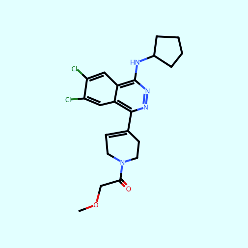 COCC(=O)N1CC=C(c2nnc(NC3CCCC3)c3cc(Cl)c(Cl)cc23)CC1